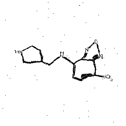 O=[N+]([O-])c1ccc(NCC2CCNCC2)c2nonc12